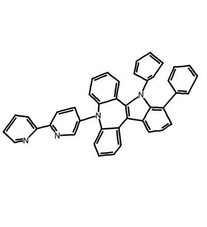 c1ccc(-c2cccc3c4c(n(-c5ccccc5)c23)-c2ccccc2N(c2ccc(-c3ccccn3)nc2)c2ccccc2-4)cc1